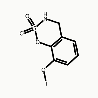 O=S1(=O)NCc2cccc(OI)c2O1